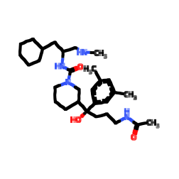 CNCC(CC1CCCCC1)NC(=O)N1CCCC([C@@](O)(CCCNC(C)=O)c2cc(C)cc(C)c2)C1